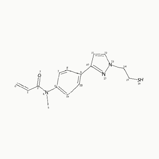 C=CC(=O)N(I)c1ccc(-c2ccn(CCS)n2)cc1